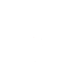 O=C(OCCS(=O)(=O)O)C1CCC2C=CC=CC2C1